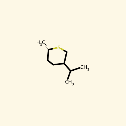 CC(C)C1CC[C@H](C)SC1